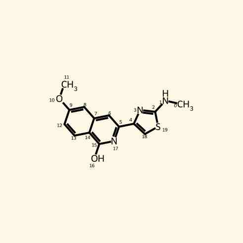 CNc1nc(-c2cc3cc(OC)ccc3c(O)n2)cs1